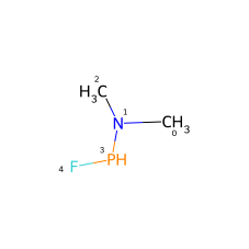 CN(C)PF